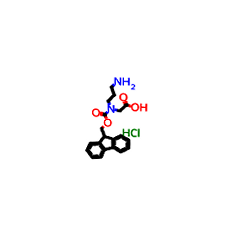 Cl.NCCCN(CC(=O)O)C(=O)OCC1c2ccccc2-c2ccccc21